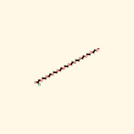 COCCOCCOCCOCCOCCOCCOCCOCCOCCOCCOCC(=O)Cl